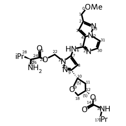 COCc1cc2c(Nc3cc([C@@H]4C[C@H](OC(=O)NC(C)C)CO4)nn3COC(=O)[C@@H](N)C(C)C)nccn2n1